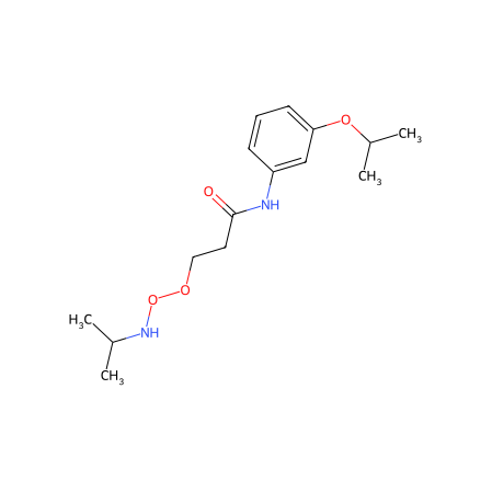 CC(C)NOOCCC(=O)Nc1cccc(OC(C)C)c1